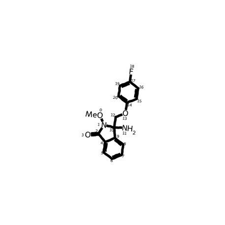 CON1C(=O)c2ccccc2C1(N)COc1ccc(F)cc1